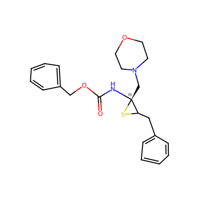 O=C(N[C@@]1(CN2CCOCC2)SC1Cc1ccccc1)OCc1ccccc1